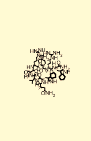 CC(C)[C@H](NC(=O)[C@H](Cc1c[nH]c2ccccc12)NC(=O)[C@@H](C)CC(N)=O)C(=O)N[C@H](C(=O)N[C@@H](CCCNC(=N)N)C(=O)N[C@@H](CCC(N)=O)C(=O)N(C)[C@@H](CCCNC(=N)N)C(=O)N[C@@H](Cc1c[nH]c2ccccc12)C(N)=O)[C@@H](C)O